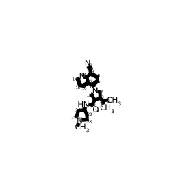 CC(C)C1CN(c2ccc(C#N)c3ncccc23)CC1C(=O)NC1CCN(C)CC1